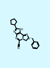 N#CC1=Nc2nc(C3CCCC3)[nH]c2C2=N[C@H](Cc3ccccc3)CN12